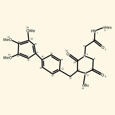 CCCCCCNC(=O)CN1CC(=O)N(CCCC)C(Cc2ccc(-c3cc(OC)c(OC)c(OC)c3)cc2)C1=O